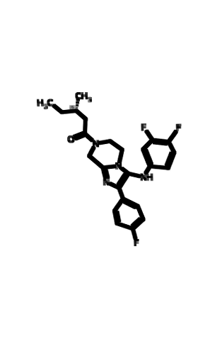 CC[C@H](C)CC(=O)N1CCn2c(nc(-c3ccc(F)cc3)c2Nc2ccc(F)c(F)c2)C1